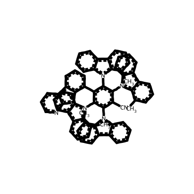 Cc1cccc2c3ccccc3n(-c3c(C#N)c(-n4c5ccccc5c5cccc(C)c54)c(-n4c5ccccc5c5cccc(C)c54)c(-c4cccc5c4oc4ncccc45)c3-n3c4ccccc4c4cccc(C)c43)c12